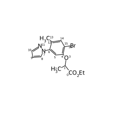 CCOC(=O)C(C)Oc1cc(-n2cccn2)c(C)cc1Br